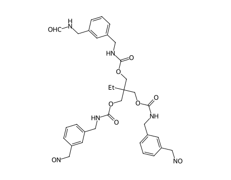 CCC(COC(=O)NCc1cccc(CN=O)c1)(COC(=O)NCc1cccc(CN=O)c1)COC(=O)NCc1cccc(CNC=O)c1